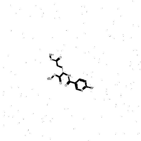 CC(C)(C)OC(=O)CC[C@H](NC(=O)c1ccc(Br)nc1)C(=O)OC(C)(C)C